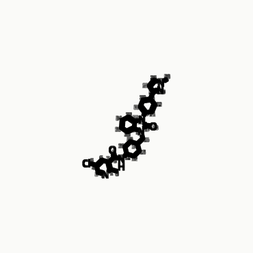 Cc1ncc(Cl)cc1C(=O)NC1CCC(Cn2c(=O)n(-c3ccc(-c4ccn(C)n4)cc3)c3ccccc32)CC1